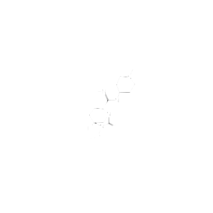 CN1CCC(NC(=N)[C@@H]2CC[C@@H]3CN2C(=O)N3OS(=O)(=O)O)CC1